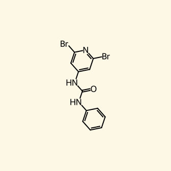 O=C(Nc1ccccc1)Nc1cc(Br)nc(Br)c1